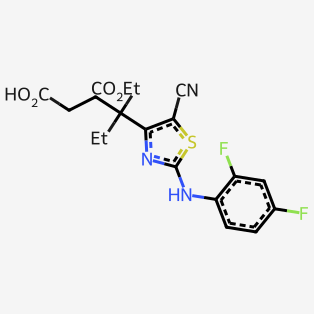 CCOC(=O)C(CC)(CCC(=O)O)c1nc(Nc2ccc(F)cc2F)sc1C#N